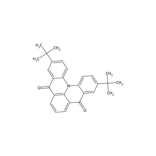 CC(C)(C)c1ccc2c(c1)c(=O)c1cccc3c(=O)c4cc(C(C)(C)C)ccc4n2c13